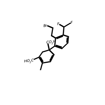 CC1=C(C(=O)O)CC(C(=O)O)(c2cccc(C(F)F)c2CCBr)C=C1